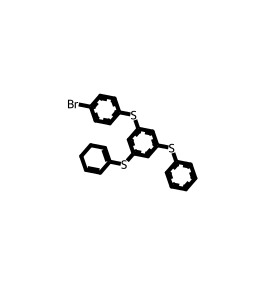 Brc1ccc(Sc2cc(SC3=CCCC=C3)cc(Sc3ccccc3)c2)cc1